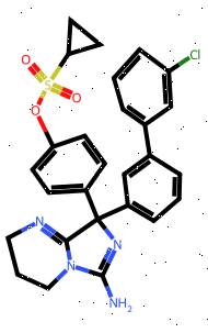 NC1=NC(c2ccc(OS(=O)(=O)C3CC3)cc2)(c2cccc(-c3cccc(Cl)c3)c2)C2=NCCCN12